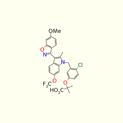 COc1ccc2c(-c3c(C)n(Cc4cc(OC(C)(C)C(=O)O)ccc4Cl)c4cc(OC(F)(F)F)ccc34)noc2c1